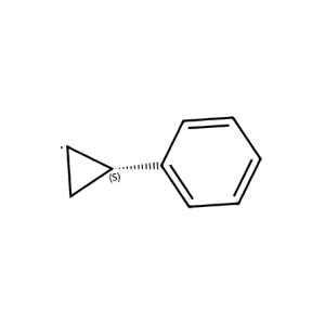 [CH]1C[C@H]1c1ccccc1